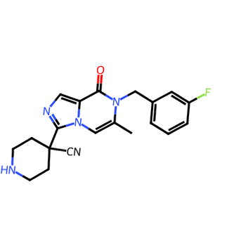 Cc1cn2c(C3(C#N)CCNCC3)ncc2c(=O)n1Cc1cccc(F)c1